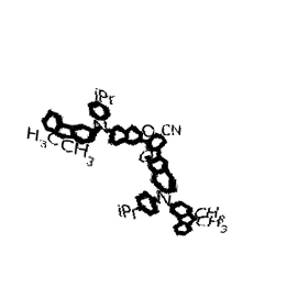 CC(C)c1ccc(N(c2ccc3c(c2)-c2ccccc2C3(C)C)c2ccc3cc4c(cc3c2)oc2c4cc(C#N)c3oc4cc5cc(N(c6ccc(C(C)C)cc6)c6ccc7c(c6)-c6ccccc6C7(C)C)ccc5cc4c32)cc1